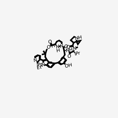 CCn1c(-c2cccnc2C(C)C)c2c3cc(ccc31)-c1cc(O)cc(c1)C[C@H](NC(=O)[C@H](C(C)C)N(C)C(=O)C1CCNC13CC3)C(=O)N1CCC[C@H](N1)C(=O)OCC(C)(C)C2